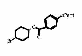 CCCCCc1ccc(C(=O)O[C@H]2CC[C@H](Br)CC2)cc1